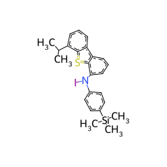 CC(C)c1cccc2c1sc1c(N(I)c3ccc([Si](C)(C)C)cc3)cccc12